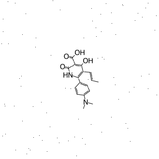 CC=Cc1c(-c2ccc(N(C)C)cc2)[nH]c(=O)c(C(=O)O)c1O